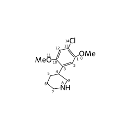 COc1cc(C2CCCNC2)c(OC)cc1Cl